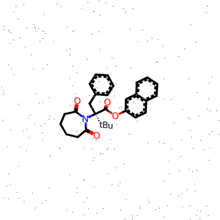 CC(C)(C)[C@](Cc1ccccc1)(C(=O)Oc1ccc2ccccc2c1)N1C(=O)CCCCC1=O